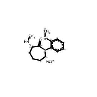 CN[C@H]1CCCCN(c2ccccc2OC)C1=O.Cl